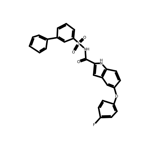 O=C(NS(=O)(=O)c1cccc(-c2ccccc2)c1)c1cc2cc(Oc3ccc(F)cc3)ccc2[nH]1